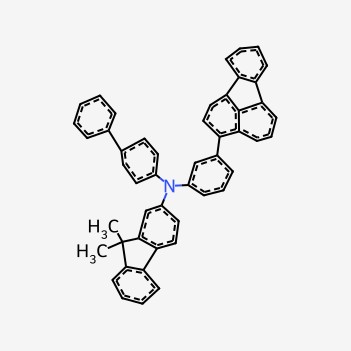 CC1(C)c2ccccc2-c2ccc(N(c3ccc(-c4ccccc4)cc3)c3cccc(-c4ccc5c6c(cccc46)-c4ccccc4-5)c3)cc21